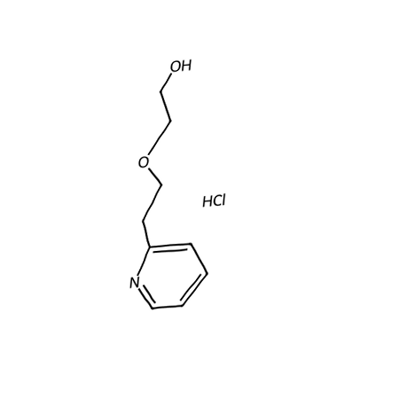 Cl.OCCOCCc1ccccn1